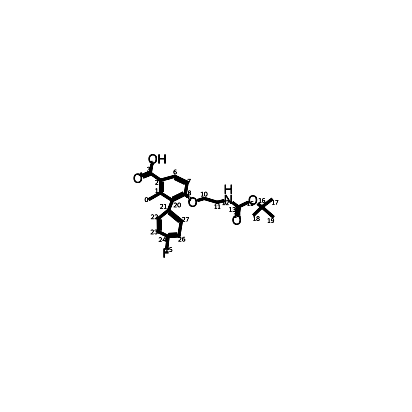 Cc1c(C(=O)O)ccc(OCCNC(=O)OC(C)(C)C)c1-c1ccc(F)cc1